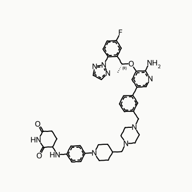 C[C@@H](Oc1cc(-c2cccc(CN3CCN(CC4CCN(c5ccc(NC6CCC(=O)NC6=O)cc5)CC4)CC3)c2)cnc1N)c1cc(F)ccc1-n1nccn1